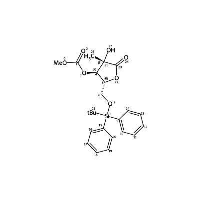 COC(=O)O[C@@H]1[C@@H](CO[Si](c2ccccc2)(c2ccccc2)C(C)(C)C)OC(=O)[C@@]1(C)O